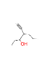 [C]#CC(CCC)C(O)CC